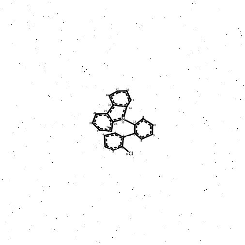 Clc1ccccc1-c1ccccc1-n1c2ccccc2c2ccccc21